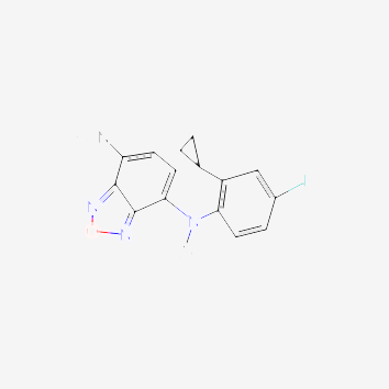 CC(=O)N(c1ccc(F)cc1C1CC1)c1ccc([N+](=O)[O-])c2nonc12